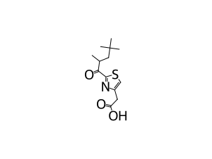 CC(CC(C)(C)C)C(=O)c1nc(CC(=O)O)cs1